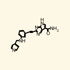 NC(=O)c1c[nH]c2nc(C#Cc3cccc(NCc4ccncc4)c3)ncc12